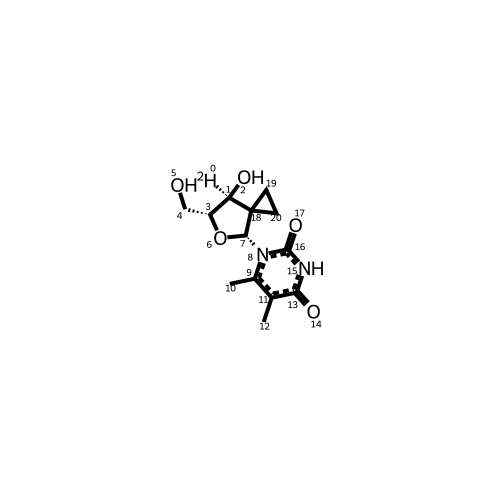 [2H][C@@]1(O)[C@@H](CO)O[C@@H](n2c(C)c(C)c(=O)[nH]c2=O)C12CC2